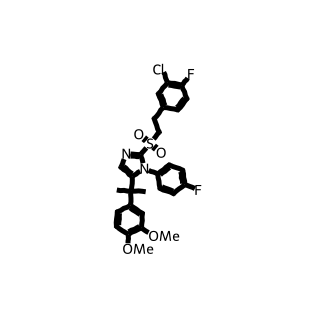 COc1ccc(C(C)(C)c2cnc(S(=O)(=O)CCc3ccc(F)c(Cl)c3)n2-c2ccc(F)cc2)cc1OC